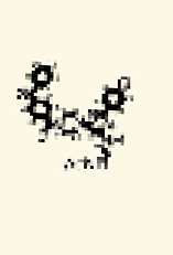 CC(=O)NCCNc1cc(N2CCN(C(=O)c3ccc(C(=O)c4ccccc4)cc3)CC2)nc(-c2ccc(Cl)cc2)n1